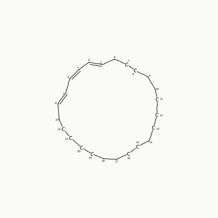 [C]1=C/C=C\C=C\CCCCCCCCCCCCCCCCCC/1